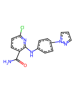 NC(=O)c1ccc(Cl)nc1Nc1ccc(-n2cccn2)cc1